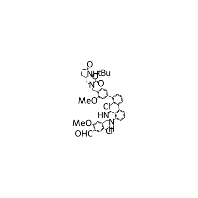 COc1cc(CNc2cccc(-c3cccc(-c4ccc(CN(C[C@@H]5CCC(=O)N5)C(=O)OC(C)(C)C)c(OC)c4)c3Cl)c2C=N)c(Cl)cc1C=O